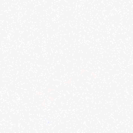 CCCCCCCCC=CCCCCCCCC(=O)OCCOCCOP(=O)(O)OCCN(C)C